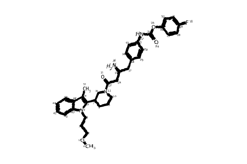 COCCCn1c(C2CCCN(C(=O)CC(N)Cc3ccc(NC(=O)Oc4ccc(F)cc4)cc3)C2)c(C)c2ccccc21